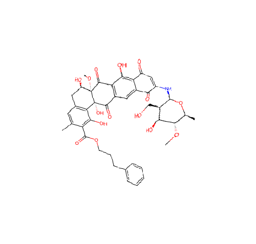 CO[C@@H]1[C@@H](O)[C@@H](CO)[C@@H](NC2=CC(=O)c3c(cc4c(c3O)C(=O)[C@]3(OC)[C@H](O)Cc5cc(C)c(C(=O)OCCCc6ccccc6)c(O)c5[C@]3(O)C4=O)C2=O)O[C@H]1C